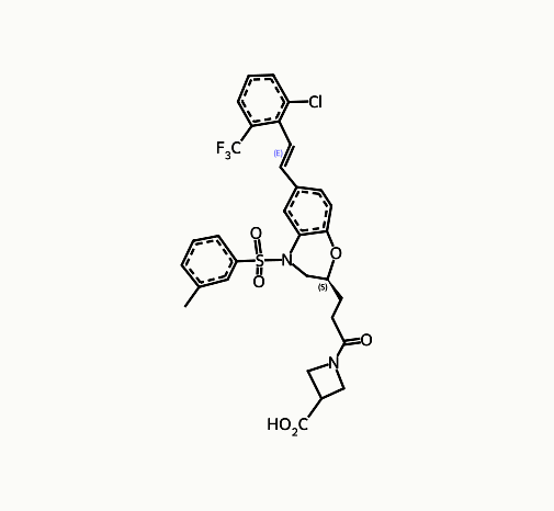 Cc1cccc(S(=O)(=O)N2C[C@H](CCC(=O)N3CC(C(=O)O)C3)Oc3ccc(/C=C/c4c(Cl)cccc4C(F)(F)F)cc32)c1